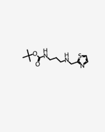 CC(C)(C)OC(=O)NCCCNCc1nccs1